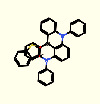 c1ccc(N2c3ccccc3[Si]3(c4ccccc4)c4sc5ccccc5c4N(c4ccccc4)c4cccc2c43)cc1